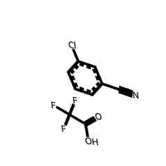 N#Cc1cccc(Cl)c1.O=C(O)C(F)(F)F